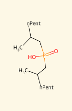 CCCCCC(C)CP(=O)(O)CC(C)CCCCC